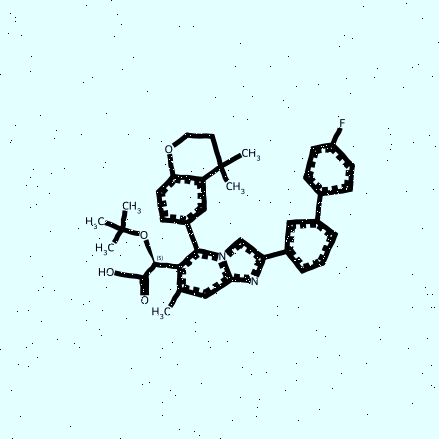 Cc1cc2nc(-c3cccc(-c4ccc(F)cc4)c3)cn2c(-c2ccc3c(c2)C(C)(C)CCO3)c1[C@H](OC(C)(C)C)C(=O)O